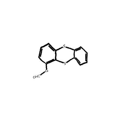 O=COc1cccc2c1Sc1ccccc1S2